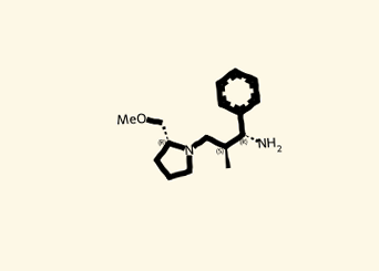 COC[C@H]1CCCN1C[C@H](C)[C@@H](N)c1ccccc1